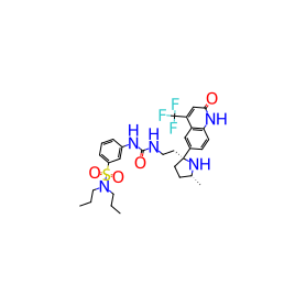 CCCN(CCC)S(=O)(=O)c1cccc(NC(=O)NCC[C@@]2(c3ccc4[nH]c(=O)cc(C(F)(F)F)c4c3)CC[C@@H](C)N2)c1